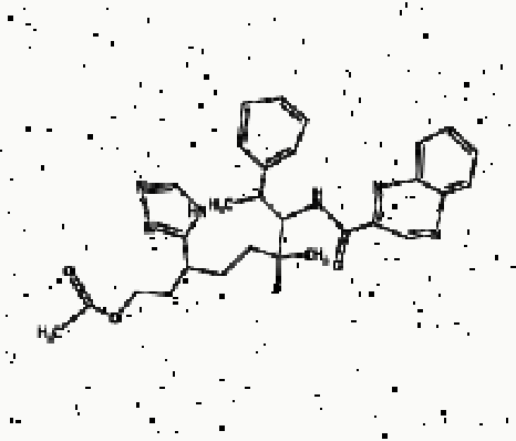 CC(=O)OCCC(CCC(C)(F)C(NC(=O)c1cnc2ccccc2n1)C(C)c1ccccc1)c1nnc[nH]1